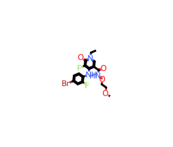 CCn1cc(C(=O)NOCCOC)c(Nc2ccc(Br)cc2F)c(F)c1=O